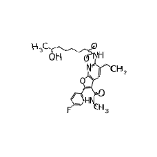 CCc1cc2c(C(=O)NC)c(-c3ccc(F)cc3)oc2nc1NS(=O)(=O)CCCCCC(C)O